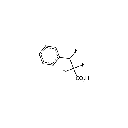 O=C(O)C(F)(F)C(F)c1ccccc1